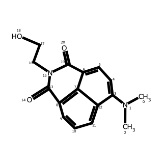 CN(C)c1ccc2c3c(cccc13)C(=O)N(CCO)C2=O